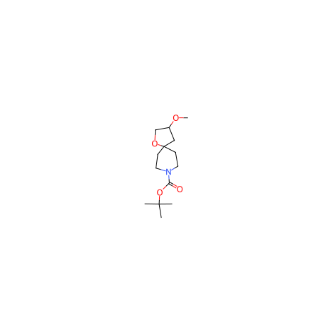 COC1COC2(CCN(C(=O)OC(C)(C)C)CC2)C1